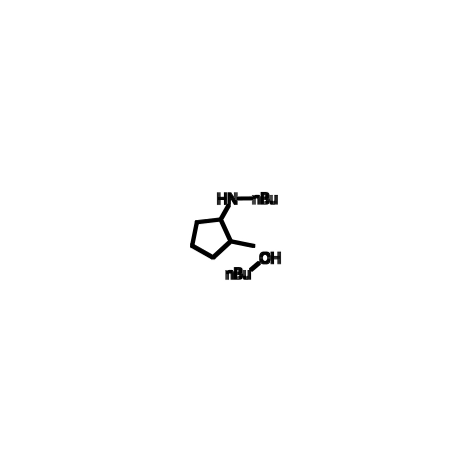 CCCCNC1CCCC1C.CCCCO